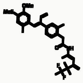 C=C/C(=C\c1cc(OC)c(SC)cc1C)c1ccc(CC(=O)N/C(C)=C/C(=C)C(C)(C)C(C)(F)F)c(C)c1